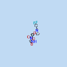 O=C1NC(=O)C2(N3Cc4cc(O[C@@H]5CCCC[C@H]5N5CC(C6CCC(F)(F)CC6)C5)ccc4C3=O)CC1C2